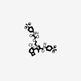 Cc1c(C(=O)Nc2ccc(S(C)(=O)=O)cc2)cn(CCOC(=O)C(=O)Nc2ccc(S(C)(=O)=O)cc2)c1C1=C(C(F)(F)F)C=CC2CCC12